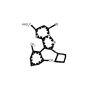 Cc1cccc(C)c1-c1c(C2CCC2)nn2c(C(C)C)cc(C(=O)O)nc12